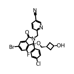 N#Cc1ccc(CN2C(=O)c3cc(Br)cc(F)c3[C@]2(OC[C@H]2C[C@@H](O)C2)c2ccc(Cl)cc2)nc1